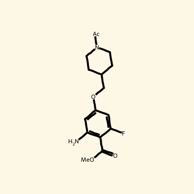 COC(=O)c1c(N)cc(OCC2CCN(C(C)=O)CC2)cc1F